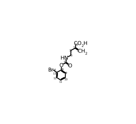 C=C(CCNC(=O)Oc1ccccc1Br)C(=O)O